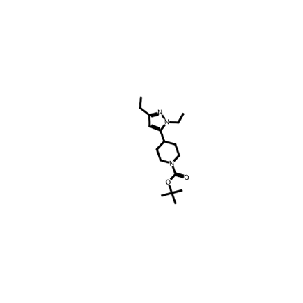 CCc1cc(C2CCN(C(=O)OC(C)(C)C)CC2)n(CC)n1